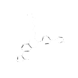 CC(=O)OOCCCCCN(Nc1cc(-c2c(C)noc2C)ccc1C)c1ccc(-n2ccnn2)cc1